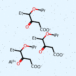 CCC(OC(C)C)C(=O)CC(=O)[O-].CCC(OC(C)C)C(=O)CC(=O)[O-].CCC(OC(C)C)C(=O)CC(=O)[O-].[Al+3]